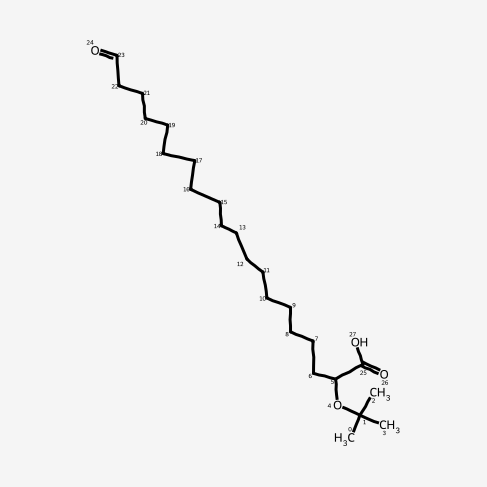 CC(C)(C)OC(CCCCCCCCCCCCCCCCCC=O)C(=O)O